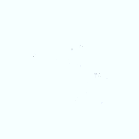 NC(CC1CNc2ccc(Br)cc21)C(=O)O